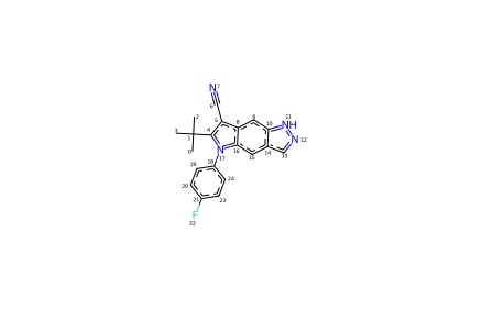 CC(C)(C)c1c(C#N)c2cc3[nH]ncc3cc2n1-c1ccc(F)cc1